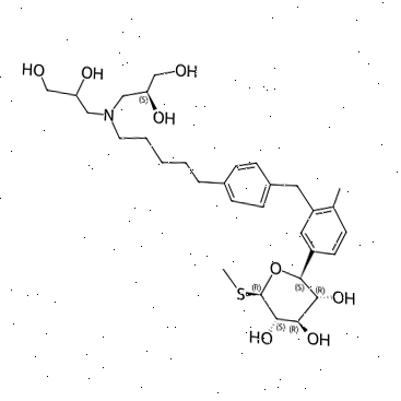 CS[C@H]1O[C@@H](c2ccc(C)c(Cc3ccc(CCCCCN(CC(O)CO)C[C@H](O)CO)cc3)c2)[C@H](O)[C@@H](O)[C@@H]1O